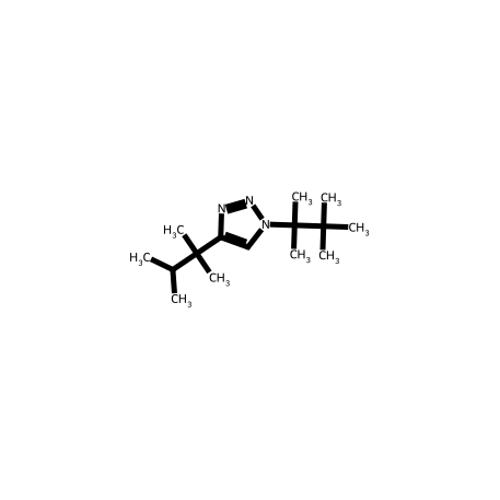 CC(C)C(C)(C)c1cn(C(C)(C)C(C)(C)C)nn1